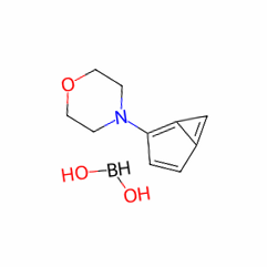 OBO.c1cc(N2CCOCC2)c2cc1-2